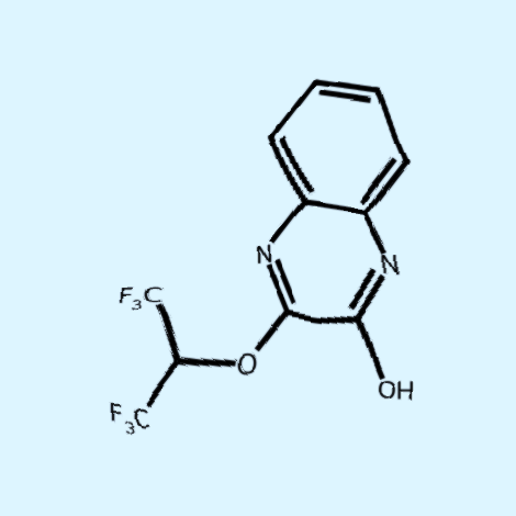 Oc1nc2ccccc2nc1OC(C(F)(F)F)C(F)(F)F